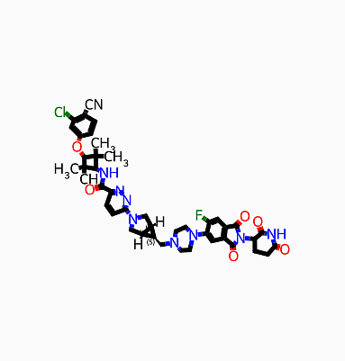 CC1(C)C(NC(=O)c2ccc(N3C[C@@H]4[C@@H](CN5CCN(c6cc7c(cc6F)C(=O)N(C6CCC(=O)NC6=O)C7=O)CC5)[C@@H]4C3)nn2)C(C)(C)C1Oc1ccc(C#N)c(Cl)c1